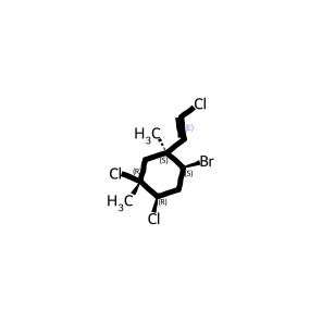 C[C@@]1(Cl)C[C@@](C)(/C=C/Cl)[C@@H](Br)C[C@H]1Cl